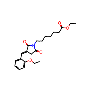 CCOC(=O)CCCCCCN1C(=O)C/C(=C\c2ccccc2OCC)C1=O